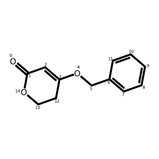 O=C1C=C(OCc2ccccc2)CCO1